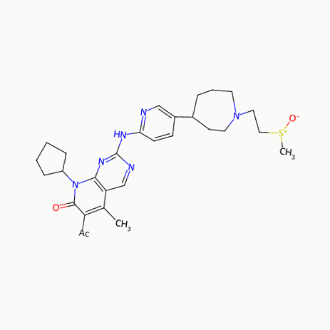 CC(=O)c1c(C)c2cnc(Nc3ccc(C4CCCN(CC[S+](C)[O-])CC4)cn3)nc2n(C2CCCC2)c1=O